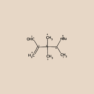 C=C(C=O)C(C)(C)C(C)CCCC